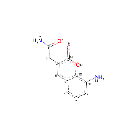 NC(=O)Cc1cc2cccc(N)c2oc1=O